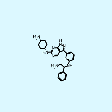 NCC(Nc1cccc(-c2n[nH]c3nc(N[C@H]4CC[C@H](N)CC4)ncc23)n1)c1ccccc1